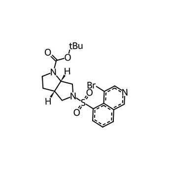 CC(C)(C)OC(=O)N1CC[C@H]2CN(S(=O)(=O)c3cccc4cncc(Br)c34)C[C@H]21